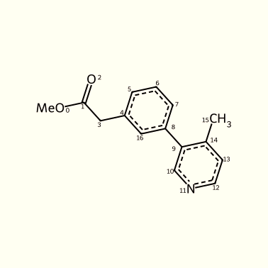 COC(=O)Cc1cccc(-c2cnccc2C)c1